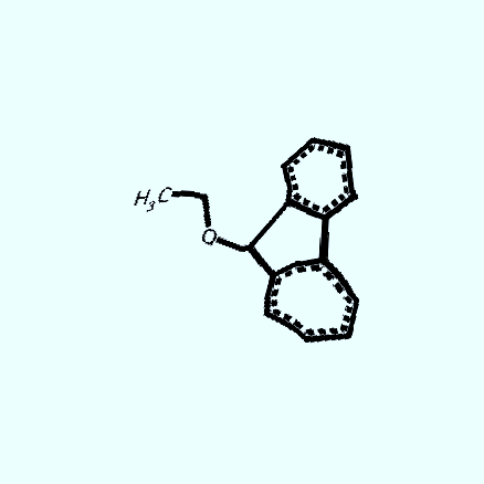 CCOC1c2ccccc2-c2ccccc21